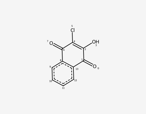 O=C1C(O)=C(Cl)C(=O)c2ccccc21